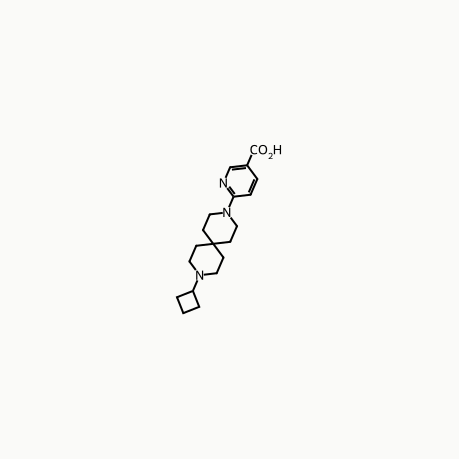 O=C(O)c1ccc(N2CCC3(CC2)CCN(C2CCC2)CC3)nc1